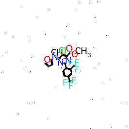 COC(=O)c1nc(-c2ccc(C(F)(F)F)cc2C(F)(F)F)nc(N(C)c2ccco2)c1Cl